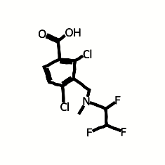 CN(Cc1c(Cl)ccc(C(=O)O)c1Cl)C(F)C(F)F